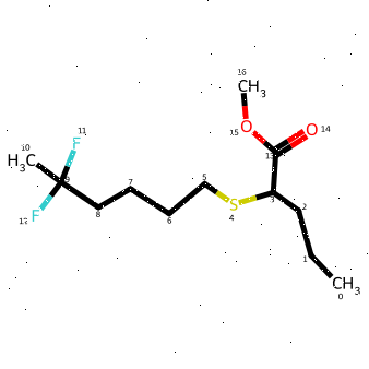 CCCC(SCCCCC(C)(F)F)C(=O)OC